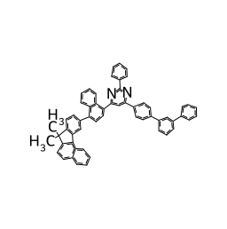 CC1(C)c2ccc(-c3ccc(-c4cc(-c5ccc(-c6cccc(-c7ccccc7)c6)cc5)nc(-c5ccccc5)n4)c4ccccc34)cc2-c2c1ccc1ccccc21